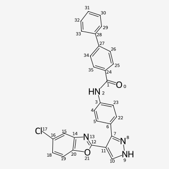 O=C(Nc1ccc(-c2n[nH]cc2-c2nc3cc(Cl)ccc3o2)cc1)c1ccc(-c2ccccc2)cc1